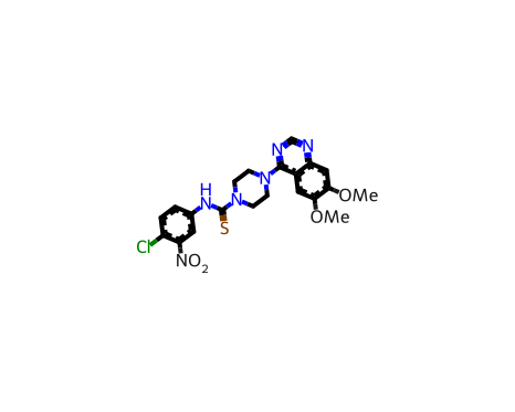 COc1cc2ncnc(N3CCN(C(=S)Nc4ccc(Cl)c([N+](=O)[O-])c4)CC3)c2cc1OC